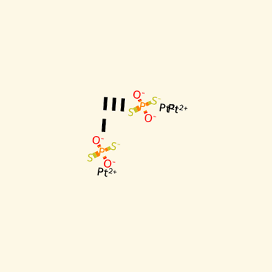 CC.CC.CC.CC.[O-]P([O-])(=S)[S-].[O-]P([O-])(=S)[S-].[Pt+2].[Pt+2].[Pt+2]